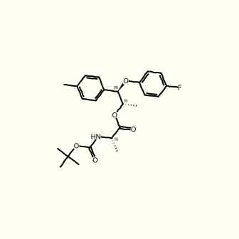 Cc1ccc([C@@H](Oc2ccc(F)cc2)[C@H](C)OC(=O)[C@H](C)NC(=O)OC(C)(C)C)cc1